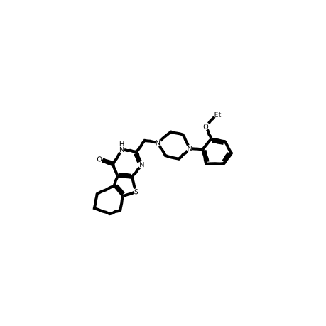 CCOc1ccccc1N1CCN(Cc2nc3sc4c(c3c(=O)[nH]2)CCCC4)CC1